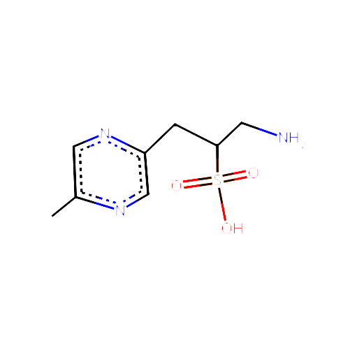 Cc1cnc(CC(CN)S(=O)(=O)O)cn1